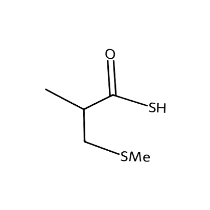 CSCC(C)C(=O)S